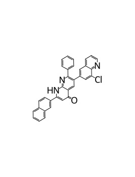 O=c1cc(-c2ccc3ccccc3c2)[nH]c2nc(-c3ccccc3)c(-c3cc(Cl)c4ncccc4c3)cc12